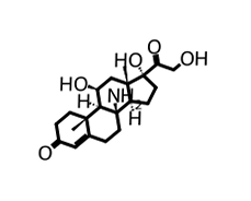 C[C@]12CCC(=O)C=C1CC[C@]1(N)[C@@H]2[C@@H](O)C[C@@]2(C)[C@H]1CC[C@]2(O)C(=O)CO